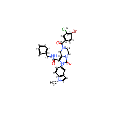 Cn1ccc2cc(-n3c(C(=O)NCc4ccccc4)c4n(c3=O)CCN(C(=O)c3ccc(Br)c(Cl)c3)C4)ccc21